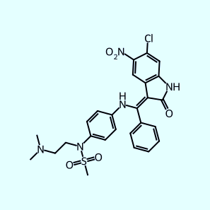 CN(C)CCN(c1ccc(NC(=C2C(=O)Nc3cc(Cl)c([N+](=O)[O-])cc32)c2ccccc2)cc1)S(C)(=O)=O